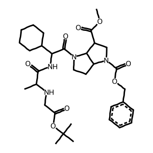 COC(=O)C1CN(C(=O)OCc2ccccc2)C2CCN(C(=O)C(NC(=O)C(C)NCC(=O)OC(C)(C)C)C3CCCCC3)C12